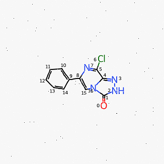 O=c1[nH]nc2c(Cl)nc(-c3ccccc3)cn12